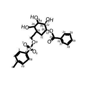 Cc1ccc(S(=O)(=O)OCC2C[C@@H](OC(=O)c3ccccc3)[C@H](O)C(O)C2O)cc1